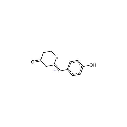 O=C1CCS/C(=C\c2ccc(O)cc2)C1